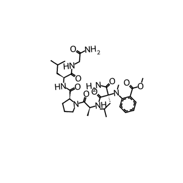 COC(=O)c1ccccc1N(C)[C@](CC(C)C)(C(N)=O)C(=O)N[C@@H](C)C(=O)N1CCC[C@H]1C(=O)N[C@@H](CC(C)C)C(=O)NCC(N)=O